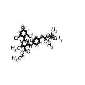 CCOC(=O)c1c(C)nc(-c2c(Cl)cc(Br)cc2Cl)nc1Nc1ccc(CC(=O)OC(C)(C)C)cc1